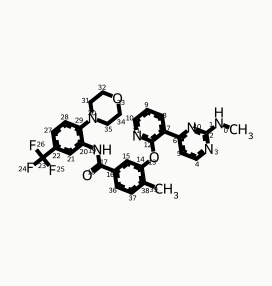 CNc1nccc(-c2cccnc2Oc2cc(C(=O)Nc3cc(C(F)(F)F)ccc3N3CCOCC3)ccc2C)n1